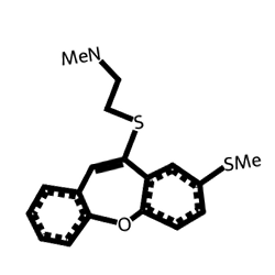 CNCCSC1=Cc2ccccc2Oc2ccc(SC)cc21